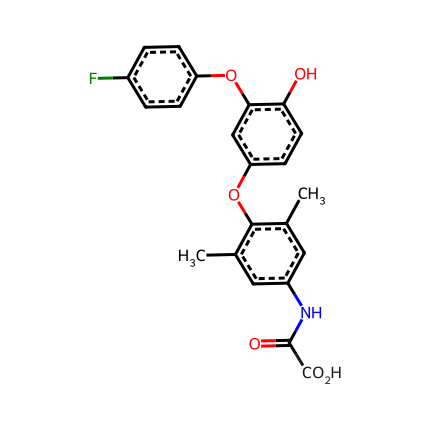 Cc1cc(NC(=O)C(=O)O)cc(C)c1Oc1ccc(O)c(Oc2ccc(F)cc2)c1